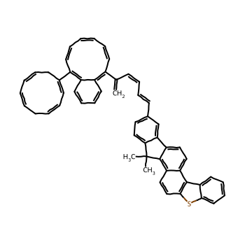 C=C(/C=C\C=C\c1ccc2c(c1)-c1ccc3c(ccc4sc5ccccc5c43)c1C2(C)C)c1ccccccc(/C2=C/C=C\C/C=C\C=C/C2)c2ccccc12